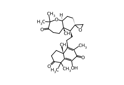 CC1=C(CC[C@@H]2[C@@]3(CC[C@@H]4OC(C)(C)C(=O)CC[C@]42C)CO3)[C@@]2(C)CCC(=O)C(C)(C)C2=C(O)C1=O